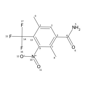 Cc1cc(C(N)=O)c(C)c([N+](=O)[O-])c1C(F)(F)F